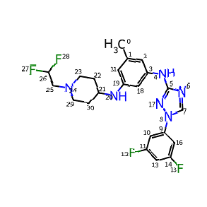 Cc1cc(Nc2ncn(-c3cc(F)cc(F)c3)n2)cc(NC2CCN(CC(F)F)CC2)c1